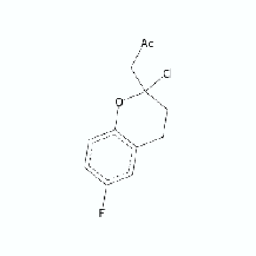 CC(=O)CC1(Cl)CCc2cc(F)ccc2O1